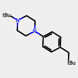 CC(C)(C)Cc1ccc(N2CCN(C(C)(C)C)CC2)cc1